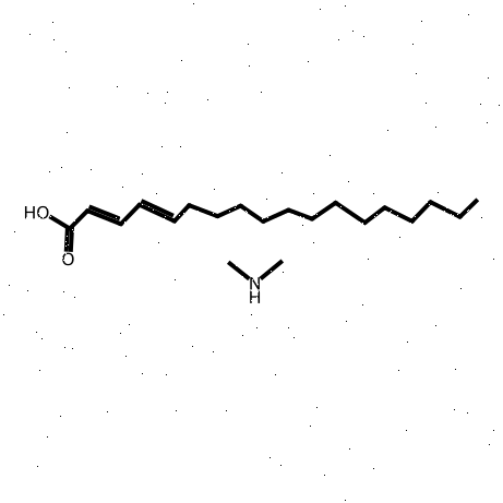 CCCCCCCCCCCCCC=CC=CC(=O)O.CNC